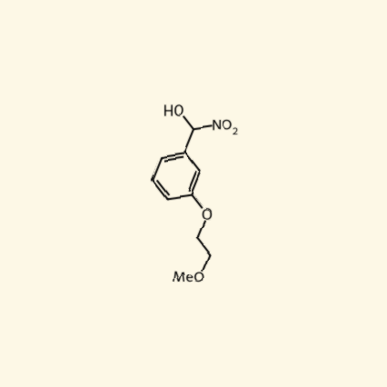 COCCOc1cccc(C(O)[N+](=O)[O-])c1